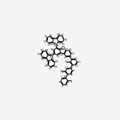 Cc1ccccc1-c1ccc(-c2cccc(-c3ccc4oc5c(-n6c7ccccc7c7ccccc76)cc(-n6c7ccccc7c7ccccc76)cc5c4c3)c2C)cc1C